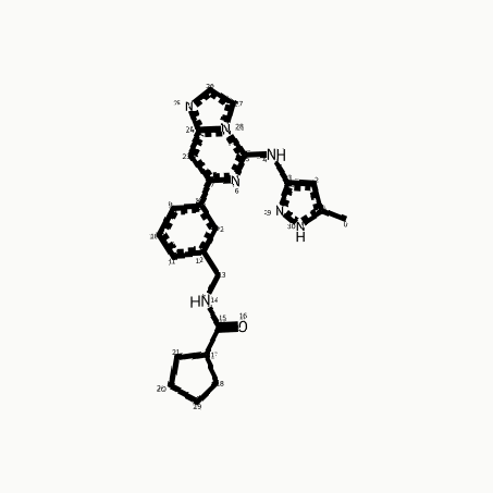 Cc1cc(Nc2nc(-c3cccc(CNC(=O)C4CCCC4)c3)cc3nccn23)n[nH]1